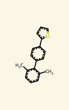 Cc1cccc(C)c1-c1ccc(-c2cccs2)cc1